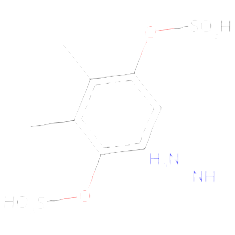 Cc1c(OS(=O)(=O)O)ccc(OS(=O)(=O)O)c1C.N.N